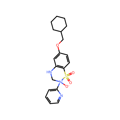 O=S1(=O)c2ccc(OCC3CCCCC3)cc2NC[N+]1([O-])c1ccccn1